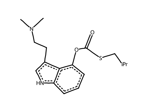 CC(C)CSC(=O)Oc1cccc2[nH]cc(CCN(C)C)c12